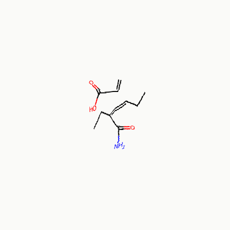 C=CC(=O)O.CCC=C(CC)C(N)=O